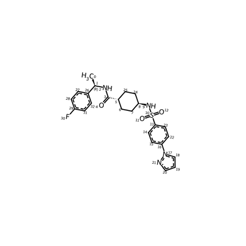 C[C@@H](NC(=O)[C@H]1CC[C@H](NS(=O)(=O)c2ccc(-n3cccn3)cc2)CC1)c1ccc(F)cc1